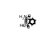 NS(=O)(=O)c1ccccc1S(=O)(=O)O